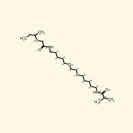 CCC(C)OCC(=O)NCCCCCOCCOCCCCCNC(=O)C(C)C